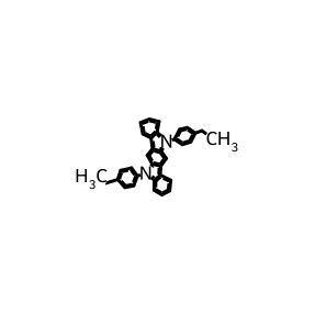 CCc1ccc(-n2c3ccccc3c3cc4c(cc32)c2ccccc2n4-c2ccc(CC)cc2)cc1